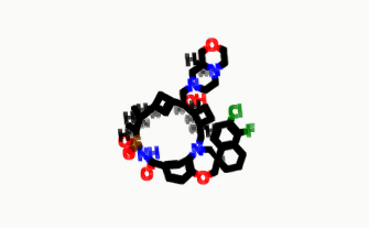 C[C@H]1[C@H]2C=C(C2)[C@@](O)(CN2CCN3CCOC[C@H]3C2)[C@@H]2CC[C@H]2CN2C[C@@]3(CCCc4c3ccc(Cl)c4F)COc3ccc(cc32)C(=O)NS(=O)(=O)[C@H]1C